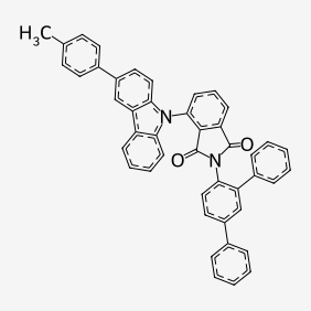 Cc1ccc(-c2ccc3c(c2)c2ccccc2n3-c2cccc3c2C(=O)N(c2ccc(-c4ccccc4)cc2-c2ccccc2)C3=O)cc1